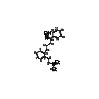 CCN(CC)CCc1ccccc1CCCC(=NO)c1ccccc1